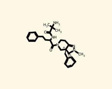 CN1N=C2CCN(C(=O)C(CCc3ccccc3)NC(=O)C(C)(C)N)C[C@@]2(Cc2ccccc2)C1=O